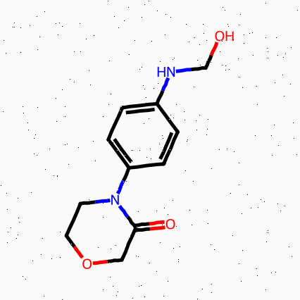 O=C1COCCN1c1ccc(NCO)cc1